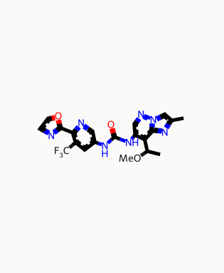 COC(C)c1c(NC(=O)Nc2cnc(-c3ncco3)c(C(F)(F)F)c2)cnn2cc(C)nc12